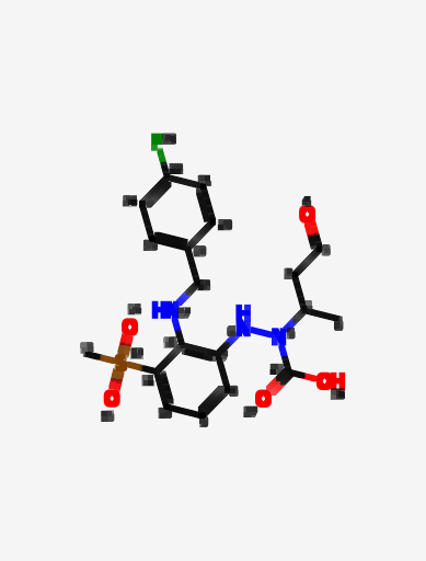 CC(CC=O)N(Nc1cccc(S(C)(=O)=O)c1NCc1ccc(F)cc1)C(=O)O